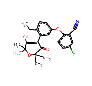 CCc1ccc(Oc2ccc(Cl)cc2C#N)cc1C1=C(O)C(C)(C)OC(C)(C)C1=O